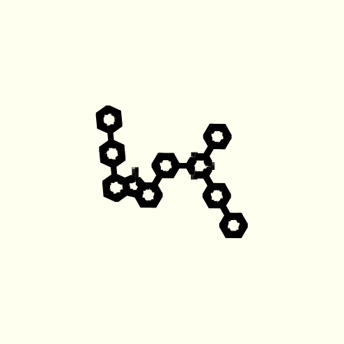 c1ccc(-c2ccc(-c3nc(-c4ccccc4)nc(-c4cccc(-c5cccc6c5[nH]c5c(-c7ccc(-c8ccccc8)cc7)cccc56)c4)n3)cc2)cc1